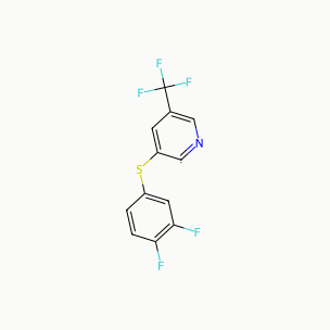 Fc1ccc(Sc2[c]ncc(C(F)(F)F)c2)cc1F